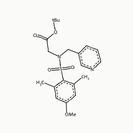 COc1cc(C)c(S(=O)(=O)N(CC(=O)OC(C)(C)C)Cc2cccnc2)c(C)c1